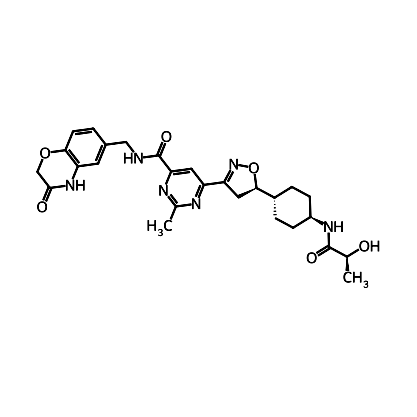 Cc1nc(C(=O)NCc2ccc3c(c2)NC(=O)CO3)cc(C2=NO[C@@H]([C@H]3CC[C@H](NC(=O)[C@H](C)O)CC3)C2)n1